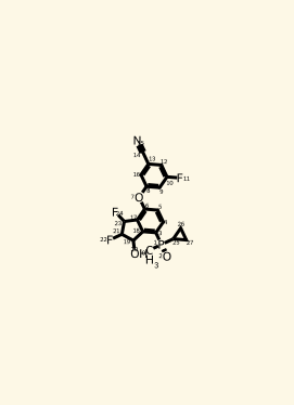 CP(=O)(c1ccc(Oc2cc(F)cc(C#N)c2)c2c1C(O)C(F)C2F)C1CC1